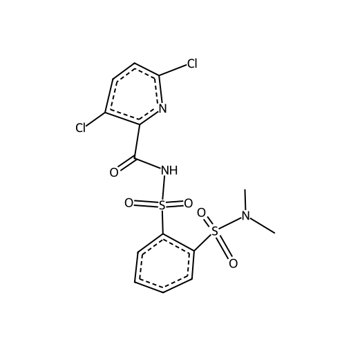 CN(C)S(=O)(=O)c1ccccc1S(=O)(=O)NC(=O)c1nc(Cl)ccc1Cl